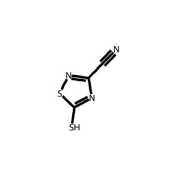 N#Cc1nsc(S)n1